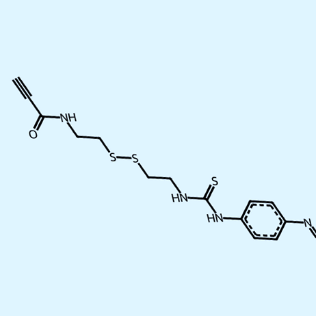 C#CC(=O)NCCSSCCNC(=S)Nc1ccc(N=C=S)cc1